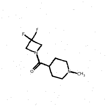 CN1CCC(C(=O)N2CC(F)(F)C2)CC1